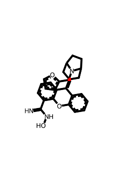 N=C(NO)c1cccc2c1Oc1ccccc1C2=C1CC2CCC(C1)N2Cc1ccco1